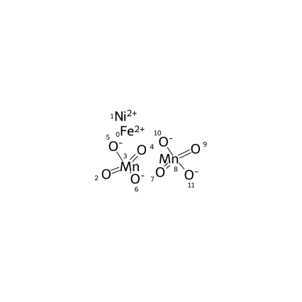 [Fe+2].[Ni+2].[O]=[Mn](=[O])([O-])[O-].[O]=[Mn](=[O])([O-])[O-]